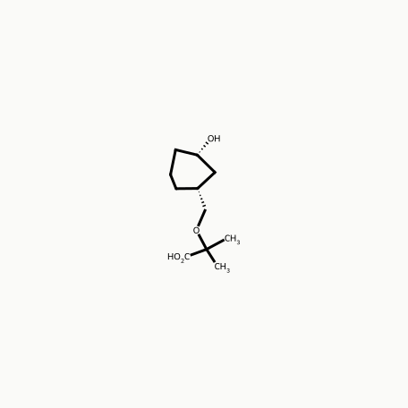 CC(C)(OC[C@@H]1CCC[C@H](O)C1)C(=O)O